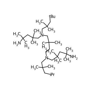 CC(C)CC(C)(C)CN(CCC(C)(C)CN(CC(C)(C)CC(C)(C)C)CC(C)(C)CC(C)(C)N)CC(C)(C)CC(C)(C)N